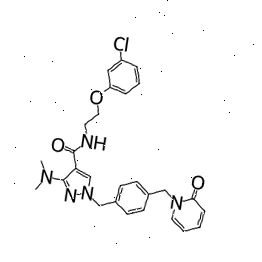 CN(C)c1nn(Cc2ccc(Cn3ccccc3=O)cc2)cc1C(=O)NCCOc1cccc(Cl)c1